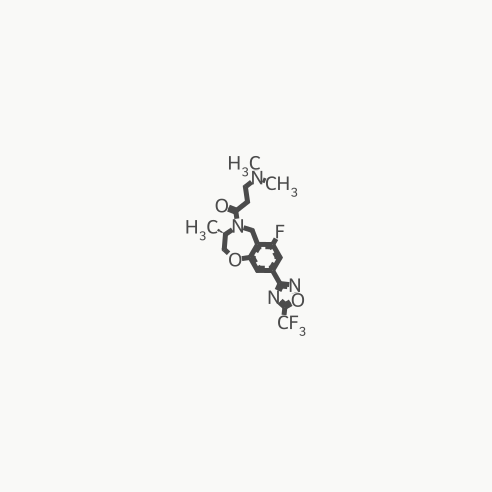 C[C@H]1COc2cc(-c3noc(C(F)(F)F)n3)cc(F)c2CN1C(=O)CCN(C)C